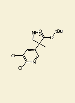 CC(C)(C)OC(=O)C(C)(CN)c1cnc(Cl)c(Cl)c1